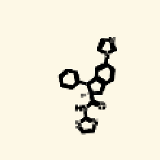 C[C@@]1(C(=O)Nc2nccs2)Cc2ccc(-n3ccnc3)cc2[C@@H]1c1ccccc1